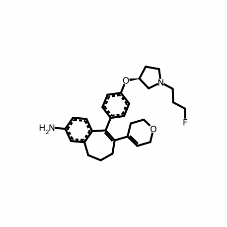 Nc1ccc2c(c1)CCCC(C1=CCOCC1)=C2c1ccc(O[C@H]2CCN(CCCF)C2)cc1